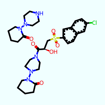 O=C([C@H](O)CS(=O)(=O)c1ccc2cc(Cl)ccc2c1)N1CCN(N2CCCCC2=O)CC1.O=C1CCCCN1N1CCNCC1